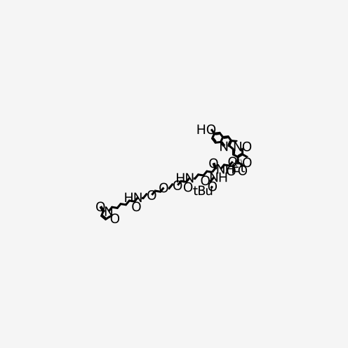 CC[C@@]1(OC(=O)CNC(=O)C(CCCCNC(=O)COCCOCCOCCNC(=O)CCCCCN2C(=O)C=CC2=O)NC(=O)OC(C)(C)C)C(=O)OCc2c1cc1n(c2=O)Cc2cc3cc(O)ccc3nc2-1